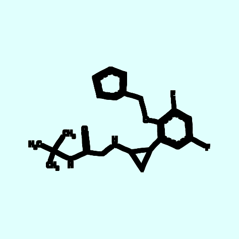 CC(C)(C)NC(=O)CNC1CC1c1cc(F)cc(F)c1OCc1ccccc1